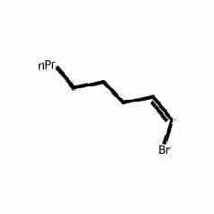 CCCCCC/C=[C]\Br